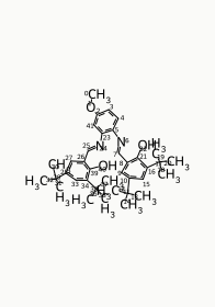 COc1ccc(/N=C/c2cc(C(C)(C)C)cc(C(C)(C)C)c2O)c(/N=C/c2cc(C(C)(C)C)cc(C(C)(C)C)c2O)c1